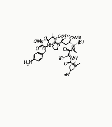 CCCC1CN(C)[C@@](C)(C(=O)N[C@H](C(=O)N(C)[C@H](C(CC(=O)N2CCC[C@H]2[C@H](OC)[C@@H](C)C(=O)N[C@@H](Cc2ccc(N)cc2)C(=O)OC)OC)[C@@H](C)CC)C(C)C)C1